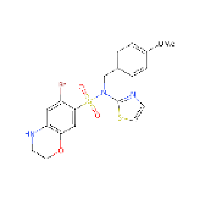 COc1ccc(CN(c2nccs2)S(=O)(=O)c2cc3c(cc2Br)NCCO3)cc1